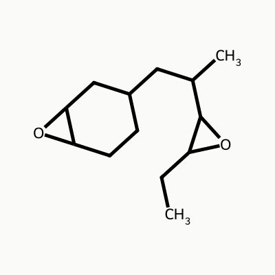 CCC1OC1C(C)CC1CCC2OC2C1